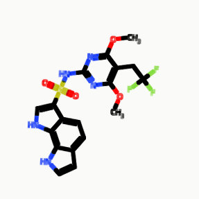 COc1nc(NS(=O)(=O)c2c[nH]c3c2ccc2cc[nH]c23)nc(OC)c1CC(F)(F)F